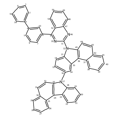 c1ccc(-c2cccc(-c3nc(-n4c5ccc(-n6c7ccccc7c7c8ccccc8ccc76)cc5c5c6ccccc6ccc54)nc4ccccc34)c2)cc1